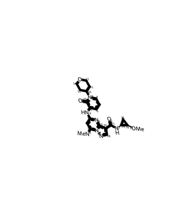 CNc1cc(Nc2cccn(C3CCOCC3)c2=O)nc2c(C(=O)N[C@@H]3C[C@H]3OC)cnn12